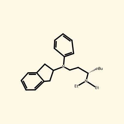 CCCC[C@@H](CCN(c1ccccc1)C1Cc2ccccc2C1)N(CC)CC